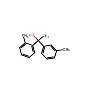 Cc1ccccc1C(C)(O)c1cccc(OCC(C)C)c1